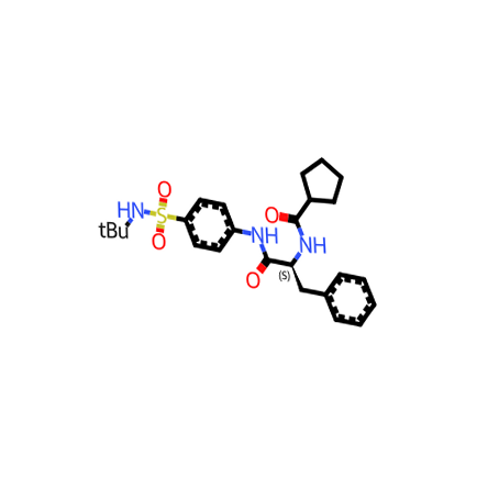 CC(C)(C)NS(=O)(=O)c1ccc(NC(=O)[C@H](Cc2ccccc2)NC(=O)C2CCCC2)cc1